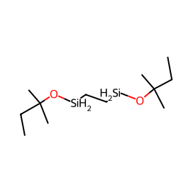 CCC(C)(C)O[SiH2]CC[SiH2]OC(C)(C)CC